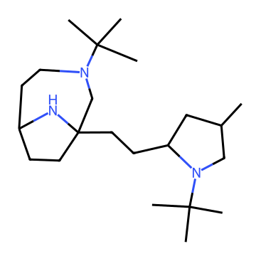 CC1CC(CCC23CCC(CCN(C(C)(C)C)C2)N3)N(C(C)(C)C)C1